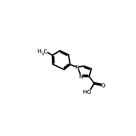 Cc1c[c]c(-n2ccc(C(=O)O)n2)cc1